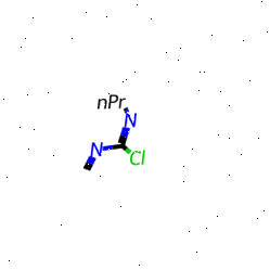 C=N/C(Cl)=N\CCC